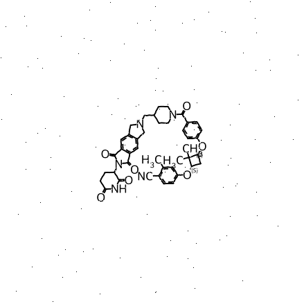 Cc1cc(O[C@H]2C[C@H](Oc3ccc(C(=O)N4CCC(CN5Cc6cc7c(cc6C5)C(=O)N(C5CCC(=O)NC5=O)C7=O)CC4)cc3)C2(C)C)ccc1C#N